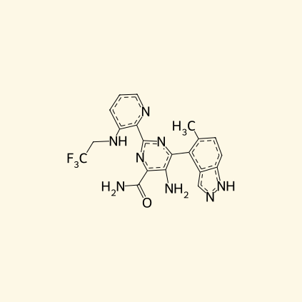 Cc1ccc2[nH]ncc2c1-c1nc(-c2ncccc2NCC(F)(F)F)nc(C(N)=O)c1N